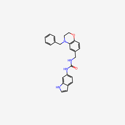 O=C(NCc1ccc2c(c1)N(Cc1ccccc1)CCO2)Nc1ccc2cc[nH]c2c1